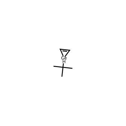 C[C](C)(C)[GeH]1[CH]=[CH]1